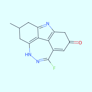 CC1CC2=NC3=C4C(=CC(=O)C3)C(F)=NNC(=C24)C1